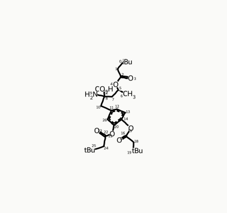 CCC(C)CC(=O)O[C@@H](C)CC(N)(Cc1ccc(OC(=O)CC(C)(C)C)c(OC(=O)CC(C)(C)C)c1)C(=O)O